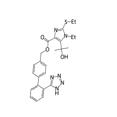 CCSc1nc(C(=O)OCc2ccc(-c3ccccc3-c3nnn[nH]3)cc2)c(C(C)(C)O)n1CC